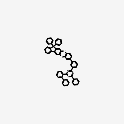 c1ccc(-c2nc(-c3cccc(-c4ccc5c(c4)Oc4cc6c(cc4O5)C(c4ccccc4)(c4ccccc4)c4ccccc4-6)c3)nc(-c3ccccc3-c3ccccc3)n2)cc1